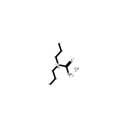 CCC[SH](CCC)C(N)=S.[Cd]